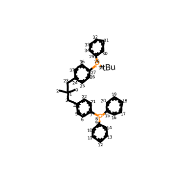 CC(C)(Cc1ccc(P(c2ccccc2)c2ccccc2)cc1)Cc1ccc(P(c2ccccc2)C(C)(C)C)cc1